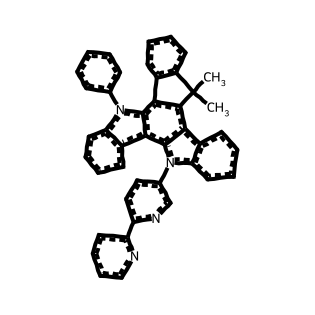 CC1(C)c2ccccc2-c2c1c1c3ccccc3n(-c3ccc(-c4ccccn4)nc3)c1c1c3ccccc3n(-c3ccccc3)c21